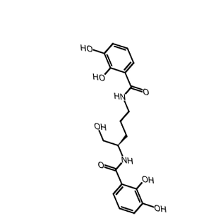 O=C(NCCC[C@H](CO)NC(=O)c1cccc(O)c1O)c1cccc(O)c1O